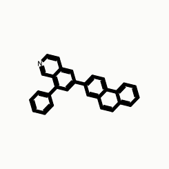 c1ccc(-c2cc(-c3ccc4c(ccc5ccccc54)c3)cc3ccncc23)cc1